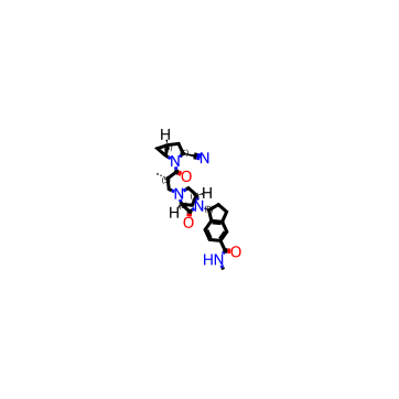 CNC(=O)c1ccc2c(c1)CC[C@H]2N1C(=O)[C@@H]2C[C@H]1CN2C[C@H](C)C(=O)N1C2C[C@H]2C[C@H]1C#N